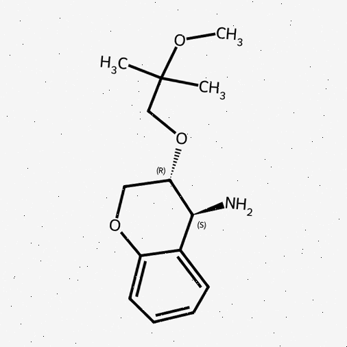 COC(C)(C)CO[C@H]1COc2ccccc2[C@@H]1N